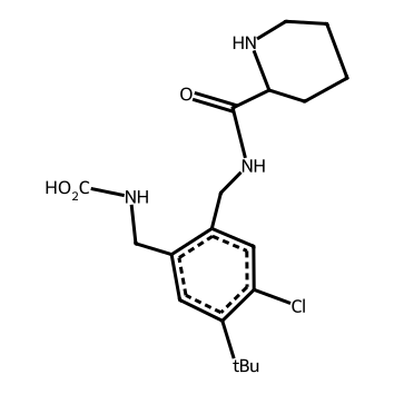 CC(C)(C)c1cc(CNC(=O)O)c(CNC(=O)C2CCCCN2)cc1Cl